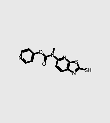 CN(C(=O)Oc1ccncc1)c1ccc2nc(S)sc2n1